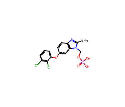 CSc1nc2ccc(Oc3cccc(Cl)c3Cl)cc2n1COP(=O)(O)O